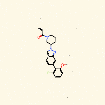 C=CC(=O)N1CCCC(n2cc3ccc(-c4c(F)cccc4OC)cc3n2)C1